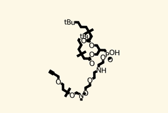 C#CCOCCC(C)(C)OCN(C)OCCOCCNCCOP(=O)(O)CC(COC(=O)CC(C)(C)CCCC(C)(C)C)COC(=O)CC(C)(C)CCCC(C)(C)C